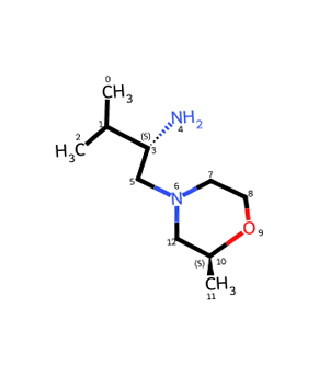 CC(C)[C@H](N)CN1CCO[C@@H](C)C1